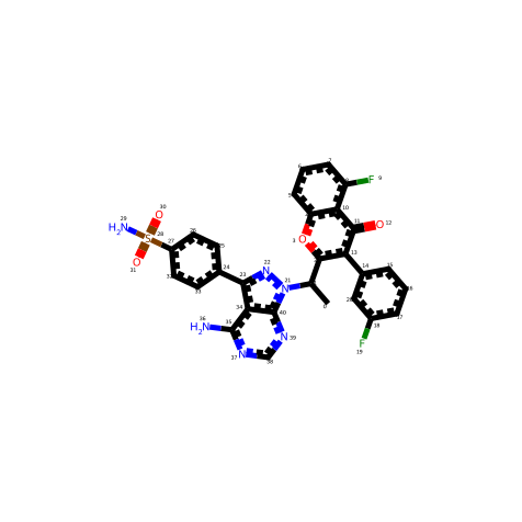 CC(c1oc2cccc(F)c2c(=O)c1-c1cccc(F)c1)n1nc(-c2ccc(S(N)(=O)=O)cc2)c2c(N)ncnc21